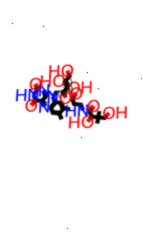 Cc1cc2nc3c(=O)[nH]c(=O)nc-3n(C[C@@H](OC(=O)CCNC(=O)C(O)C(C)(C)CO)[C@@H](O)[C@@H](O)CO)c2cc1C